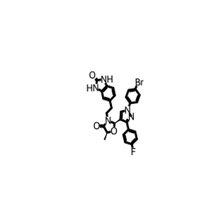 C[C@@H]1O[C@H](c2cn(-c3ccc(Br)cc3)nc2-c2ccc(F)cc2)N(CCc2ccc3[nH]c(=O)[nH]c3c2)C1=O